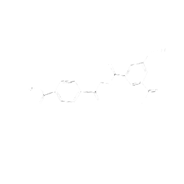 CCC(=O)c1cc(C(=O)OCC(=O)c2ccc(C(=O)OC)cc2)cc(S(=O)(=O)O)c1